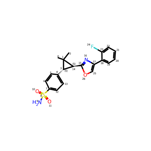 CC1(C)[C@@H](c2ccc(S(N)(=O)=O)cc2)[C@@H]1c1nc(-c2ccccc2F)co1